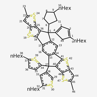 CCCCCCC1=CC=C(C2(C3CCC(CCCCCC)C3)c3cc4c(cc3-c3sc5cc(C)sc5c32)C(c2csc(CCCCCC)c2)(c2ccc(CCCCCC)s2)c2c-4sc3cc(C)sc23)C1